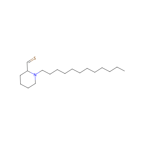 CCCCCCCCCCCCN1CCCCC1C=S